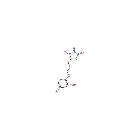 O=C1NC(=O)C(CCCOc2ccc(F)cc2O)S1